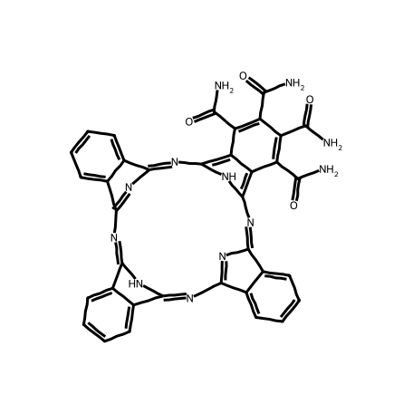 NC(=O)c1c(C(N)=O)c(C(N)=O)c2c3nc4nc(nc5[nH]c(nc6nc(nc([nH]3)c2c1C(N)=O)-c1ccccc1-6)c1ccccc51)-c1ccccc1-4